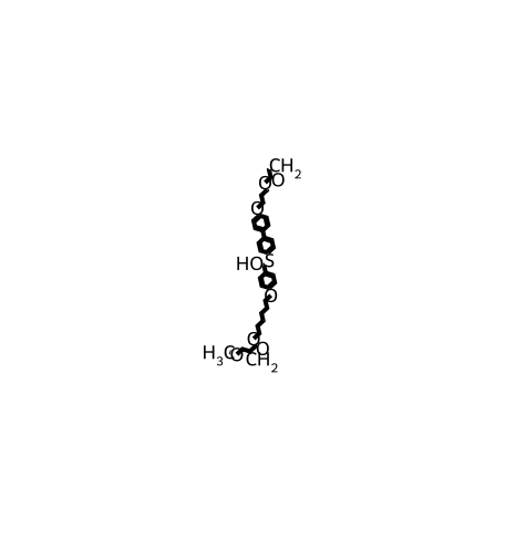 C=CC(=O)OCCCOc1ccc(-c2ccc(SC(O)c3ccc(OCCCCCCOC(=O)C(=C)COC)cc3)cc2)cc1